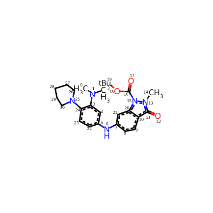 CN(C)c1cc(Nc2ccc3c(=O)n(C)n(C(=O)OC(C)(C)C)c3c2)ccc1N1CCCCC1